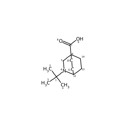 CC(C)(C)N1CC2(C(=O)O)CCC1CC2